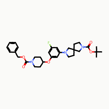 CC(C)(C)OC(=O)N1CCC2(CCN(c3cc(F)cc(OC4CCN(C(=O)OCc5ccccc5)CC4)c3)C2)C1